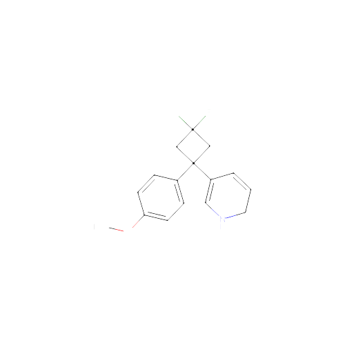 FC1(F)CC(C2=[C]NCC=C2)(c2ccc(OC(F)(F)F)cc2)C1